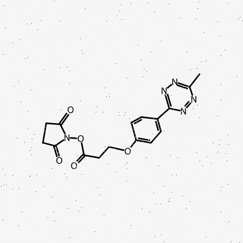 Cc1nnc(-c2ccc(OCCC(=O)ON3C(=O)CCC3=O)cc2)nn1